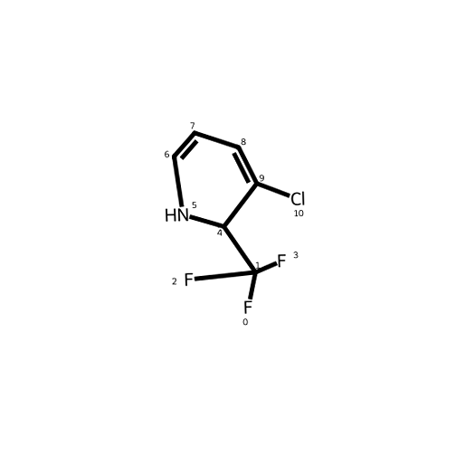 FC(F)(F)[C]1NC=CC=C1Cl